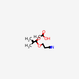 C=C(C)C(=O)OCCC#N.CC(=O)O